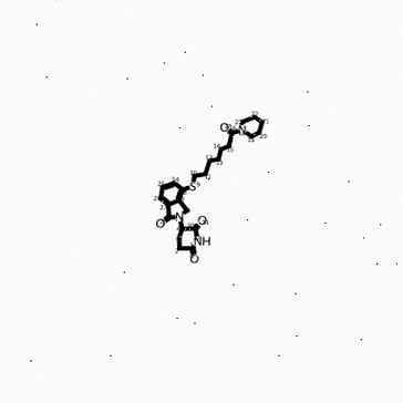 O=C1CCC(N2Cc3c(SCCCCCCC(=O)N4CCCCC4)cccc3C2=O)C(=O)N1